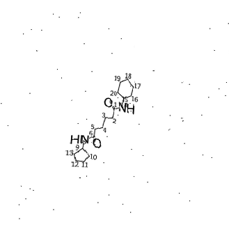 O=C(CCCCC(=O)NC1CCCC1)NC1CCCCC1